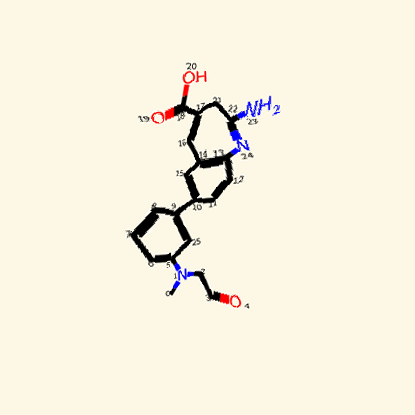 CN(CC=O)c1cccc(-c2ccc3c(c2)C=C(C(=O)O)CC(N)=N3)c1